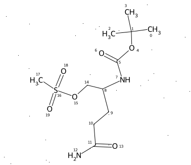 CC(C)(C)OC(=O)NC(CCC(N)=O)COS(C)(=O)=O